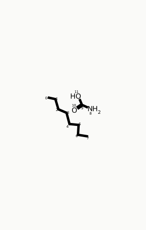 CCCCCCCC.NC(=O)O